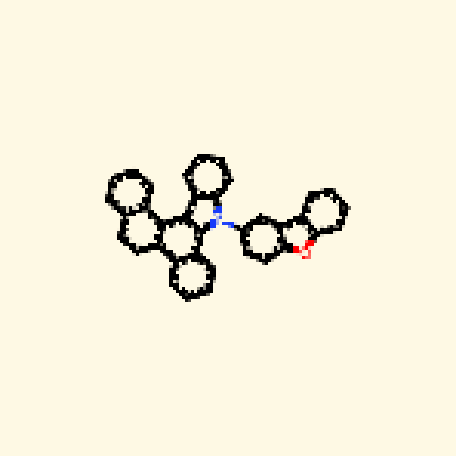 c1ccc2c(c1)ccc1c3ccccc3c3c(c4ccccc4n3-c3ccc4oc5ccccc5c4c3)c21